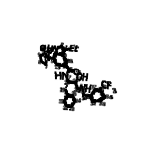 CCc1c[nH]c2c(N3CCCS3(=O)=O)cc(C(=O)N[C@@H](Cc3ccccc3)[C@H](O)CNCc3cccc(C(F)(F)F)c3)cc12